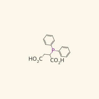 O=C(O)CC(C(=O)O)P(c1ccccc1)c1ccccc1